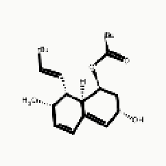 CC[C@H](C)C(=O)O[C@H]1C[C@H](O)C=C2C=C[C@H](C)[C@H](/C=C/C(C)(C)C)[C@H]21